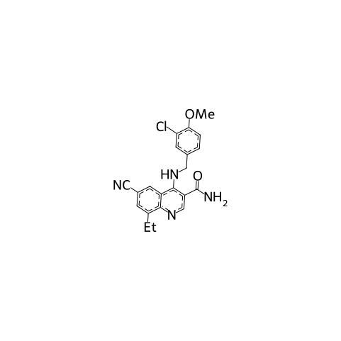 CCc1cc(C#N)cc2c(NCc3ccc(OC)c(Cl)c3)c(C(N)=O)cnc12